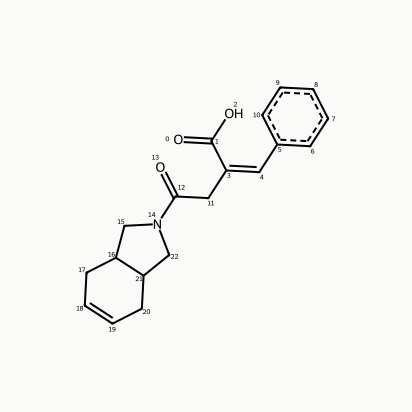 O=C(O)C(=Cc1ccccc1)CC(=O)N1CC2CC=CCC2C1